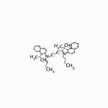 CCCCN(/C=C/C=C/C1=[N+](CCCC)c2ccc3ccccc3c2C1(C)C)c1ccc2ccccc2c1C(C)C